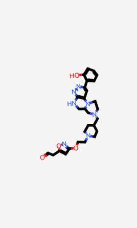 O=CCc1cc(OCCN2CCC(CN3CCN4c5cc(-c6ccccc6O)nnc5NCC4C3)CC2)no1